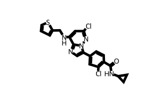 O=C(NC1CC1)c1ccc(-c2cnc3c(NCc4cccs4)cc(Cl)nn23)cc1Cl